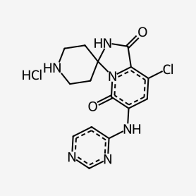 Cl.O=C1NC2(CCNCC2)n2c1c(Cl)cc(Nc1ccncn1)c2=O